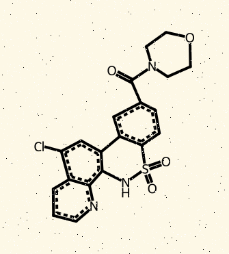 O=C(c1ccc2c(c1)-c1cc(Cl)c3cccnc3c1NS2(=O)=O)N1CCOCC1